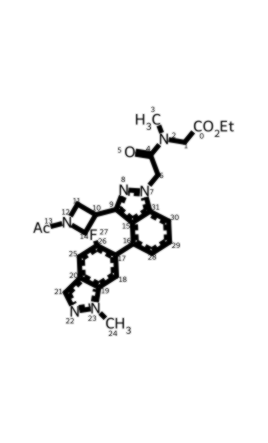 CCOC(=O)CN(C)C(=O)Cn1nc(C2CN(C(C)=O)C2)c2c(-c3cc4c(cnn4C)cc3F)cccc21